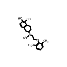 CCCN(CCOc1c(C)cccc1C)C1CCc2c(ccc(O)c2O)C1